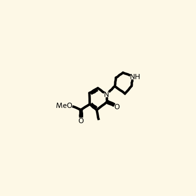 COC(=O)c1ccn(C2CCNCC2)c(=O)c1C